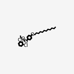 CCCCCCCCCCCCOc1ccc(ON(OCC)c2c(Cl)cccc2Cl)cc1